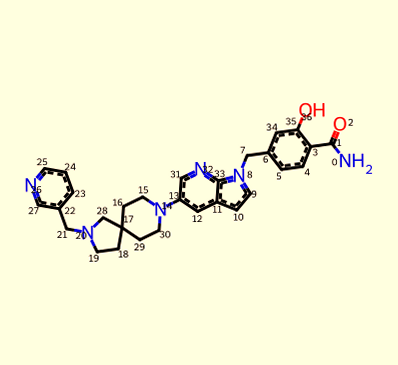 NC(=O)c1ccc(Cn2ccc3cc(N4CCC5(CCN(Cc6cccnc6)C5)CC4)cnc32)cc1O